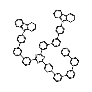 C1=Cc2c(c3ccccc3n2-c2ccc(-c3cccc(-c4cccc(-c5nc(C6=CCC(c7cccc(-c8cccc(-c9cccc(-c%10ccccc%10)c9)c8)c7)C=C6)nc(-c6cccc(-c7cccc(-c8ccc(-n9c%10c(c%11ccccc%119)C=CCC%10)cc8)c7)c6)n5)c4)c3)cc2)CC1